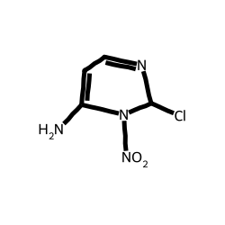 NC1=CC=NC(Cl)N1[N+](=O)[O-]